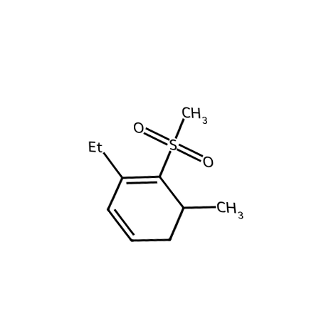 CCC1=C(S(C)(=O)=O)C(C)CC=C1